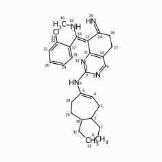 CCC1CC=C(Nc2ncc3c(n2)/C(=C(/NC)c2ccccc2Cl)C(=N)CC3)CCC1CC